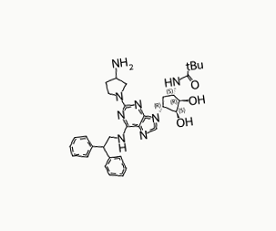 CC(C)(C)C(=O)N[C@H]1C[C@@H](n2cnc3c(NCC(c4ccccc4)c4ccccc4)nc(N4CCC(N)C4)nc32)[C@H](O)[C@@H]1O